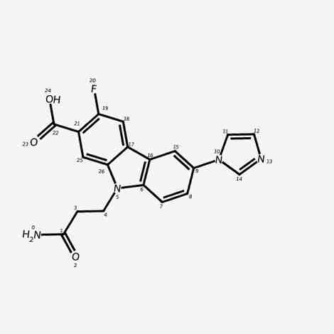 NC(=O)CCn1c2ccc(-n3ccnc3)cc2c2cc(F)c(C(=O)O)cc21